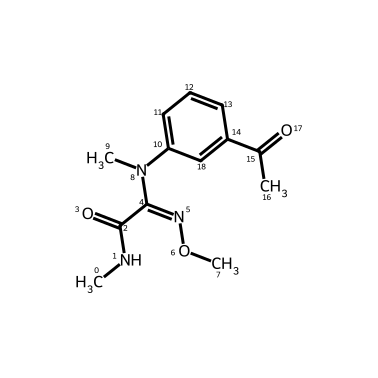 CNC(=O)C(=NOC)N(C)c1cccc(C(C)=O)c1